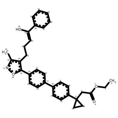 CCOC(=O)CC1(c2ccc(-c3ccc(-c4onc(C)c4CC/C=C(\O)c4ccccc4)cc3)cc2)CC1